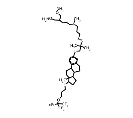 CCCC(OCCCOC1CCC2C3CCc4cc(OCC(C)(C)SSCCCN(C)CCCC(CON)CON)ccc4C3CCC12C)(C(F)(F)F)C(F)(F)F